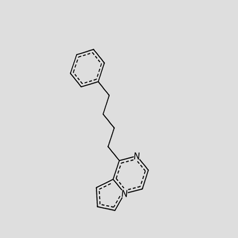 c1ccc(CCCCc2nccn3cccc23)cc1